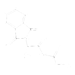 COC(=S)NC(=O)[C@H](C)N1C(=O)c2ccccc2C1=O